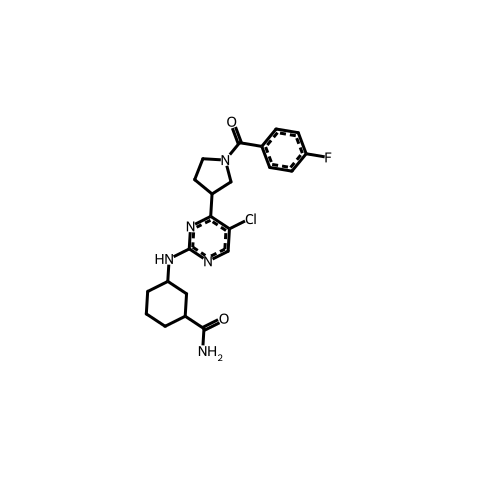 NC(=O)C1CCCC(Nc2ncc(Cl)c(C3CCN(C(=O)c4ccc(F)cc4)C3)n2)C1